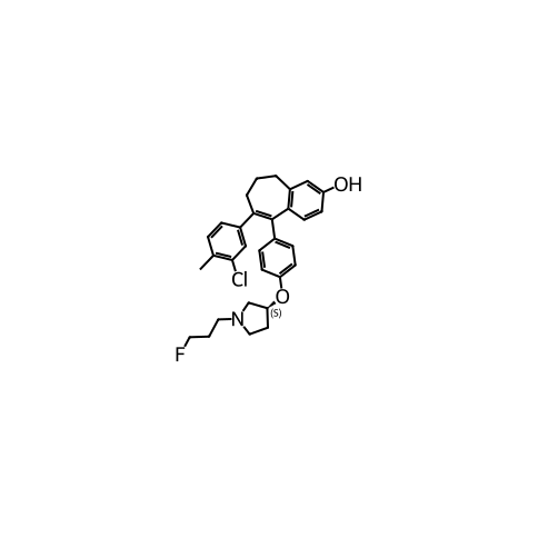 Cc1ccc(C2=C(c3ccc(O[C@H]4CCN(CCCF)C4)cc3)c3ccc(O)cc3CCC2)cc1Cl